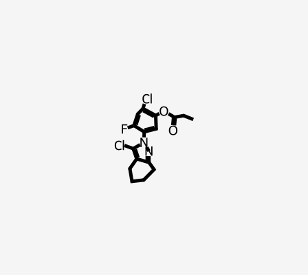 CCC(=O)Oc1cc(-n2nc3c(c2Cl)CCCC3)c(F)cc1Cl